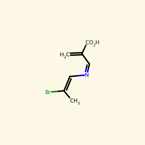 C=C(/C=N\C=C(/C)Br)C(=O)O